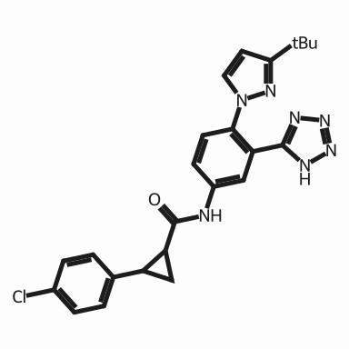 CC(C)(C)c1ccn(-c2ccc(NC(=O)C3CC3c3ccc(Cl)cc3)cc2-c2nnn[nH]2)n1